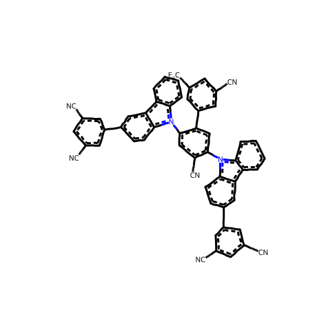 N#Cc1cc(C#N)cc(-c2ccc3c(c2)c2ccccc2n3-c2cc(-c3cc(C#N)cc(C(F)(F)F)c3)c(-n3c4ccccc4c4cc(-c5cc(C#N)cc(C#N)c5)ccc43)cc2C#N)c1